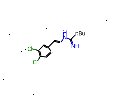 CCCCC(=N)NC=Cc1ccc(Cl)c(Cl)c1